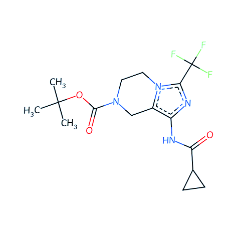 CC(C)(C)OC(=O)N1CCn2c(C(F)(F)F)nc(NC(=O)C3CC3)c2C1